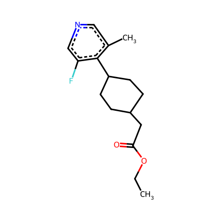 CCOC(=O)CC1CCC(c2c(C)cncc2F)CC1